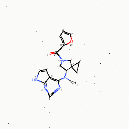 CN(c1ncnc2[nH]ccc12)[C@H]1CN(C(=O)c2ccco2)CC12CC2